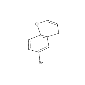 Brc1ccc2c(c1)CC=CO2